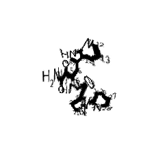 NC(=O)C(=O)C(Cc1c[nH]c2ncccc12)NC(=O)c1ccnn1-c1ccccn1